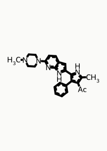 CC(=O)c1c(C)[nH]c(-c2cc3ccc(N4CCN(C)CC4)nc3[nH]2)c1-c1ccccc1